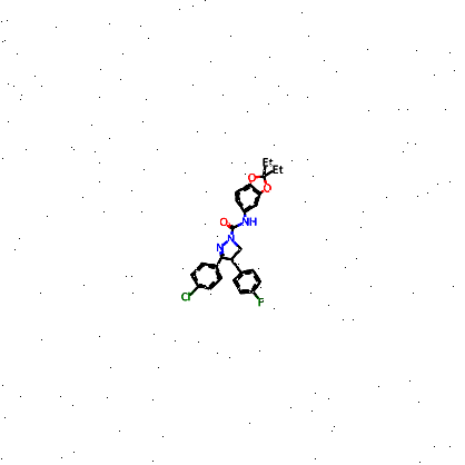 CCC1(CC)Oc2ccc(NC(=O)N3CC(c4ccc(F)cc4)C(c4ccc(Cl)cc4)=N3)cc2O1